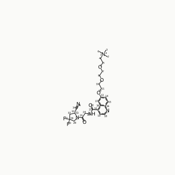 C[N+](C)(C)CCOCCOCCOc1ccc2nccc(C(=O)NCC(=O)N3CC(F)(F)C[C@H]3C#N)c2c1